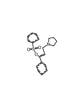 O=S(=O)(OC(=CCN1CCCC1)c1ccccc1)c1ccccc1